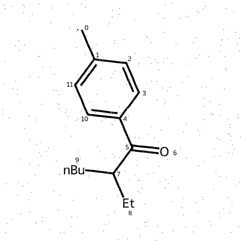 [CH2]c1ccc(C(=O)C(CC)CCCC)cc1